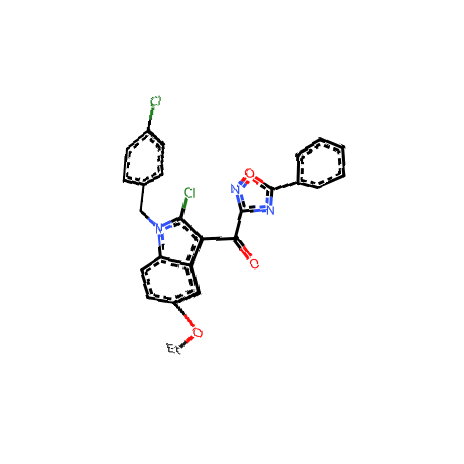 CCOc1ccc2c(c1)c(C(=O)c1noc(-c3ccccc3)n1)c(Cl)n2Cc1ccc(Cl)cc1